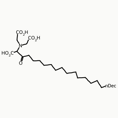 CCCCCCCCCCCCCCCCCCCCCCCCC(=O)C(C(=O)O)N(CC(=O)O)CC(=O)O